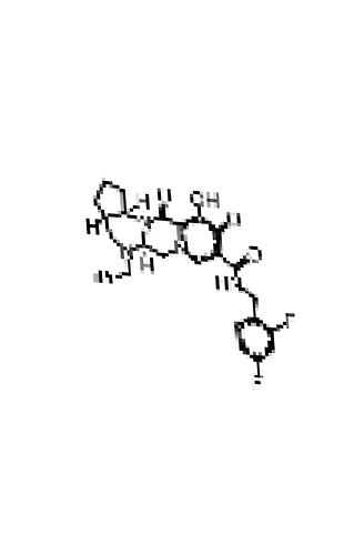 CC(C)CN1C[C@@H]2CCC[C@@H]2N2C(=O)c3c(O)c(=O)c(C(=O)NCc4ccc(F)cc4F)cn3C[C@@H]12